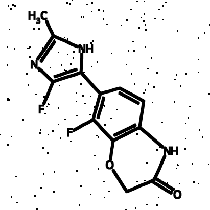 Cc1nc(F)c(-c2ccc3c(c2F)OCC(=O)N3)[nH]1